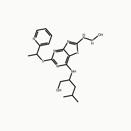 CC(C)CC(CO)Nc1nc(SC(C)c2ccccn2)nc2nc(NPO)sc12